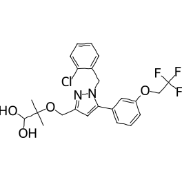 CC(C)(OCc1cc(-c2cccc(OCC(F)(F)F)c2)n(Cc2ccccc2Cl)n1)C(O)O